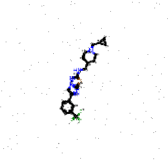 FC(F)(F)c1cccc(-c2cn3nc(NCC4CCN(CC5CC5)CC4)sc3n2)c1